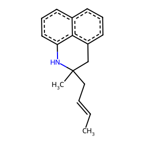 CC=CCC1(C)Cc2cccc3cccc(c23)N1